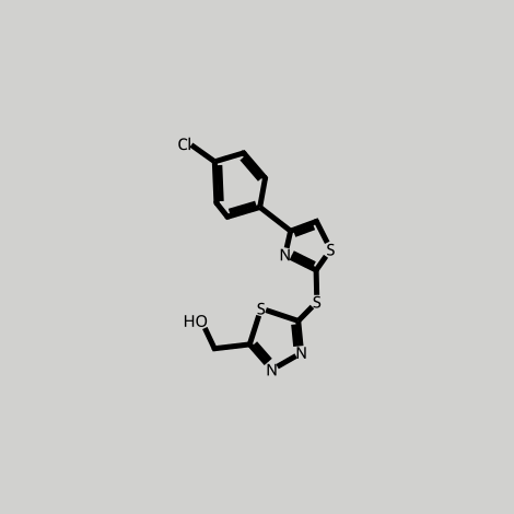 OCc1nnc(Sc2nc(-c3ccc(Cl)cc3)cs2)s1